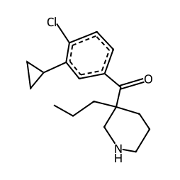 CCCC1(C(=O)c2ccc(Cl)c(C3CC3)c2)CCCNC1